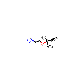 C#CC(C)(C)OCCN